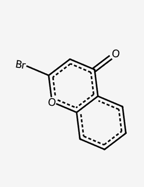 O=c1cc(Br)oc2ccccc12